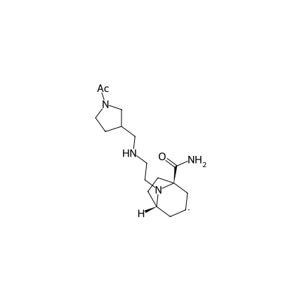 CC(=O)N1CCC(CNCCN2[C@@H]3C[CH]C[C@@]2(C(N)=O)CC3)C1